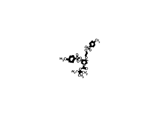 Cc1ccc(S(=O)(=O)OCCO[C@@H]2CN(C(=O)OC(C)(C)C)C[C@H]2OS(=O)(=O)c2ccc(C)cc2)cc1